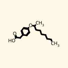 CCCCCCCC(C)Oc1ccc(CC(=O)O)cc1